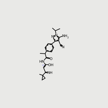 CC(C(=O)N/C(O)=C/C(=N)C1(C)CC1)c1ccc(-c2nn(C(C)C)c(N)c2C#N)cc1